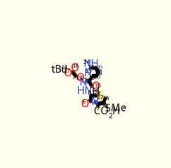 CSC1=C(C(=O)O)N2C(=O)C(NC(=O)C(=NOCC(=O)OC(C)(C)C)c3cccc(N)n3)[C@@H]2SC1